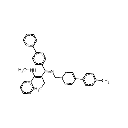 CCC(/C(=N\CC1C=CC(c2ccc(C)cc2)=CC1)c1ccc(-c2ccccc2)cc1)=C(/NC)c1ccccc1